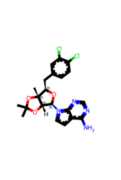 CC1(C)O[C@H]2[C@H](n3ccc4c(N)ncnc43)O[C@H](Cc3ccc(Cl)c(Cl)c3)[C@@]2(C)O1